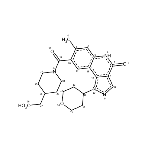 Cc1cc2[nH]c(=O)c3cnn(C4CCOCC4)c3c2cc1C(=O)N1CCC(CC(=O)O)CC1